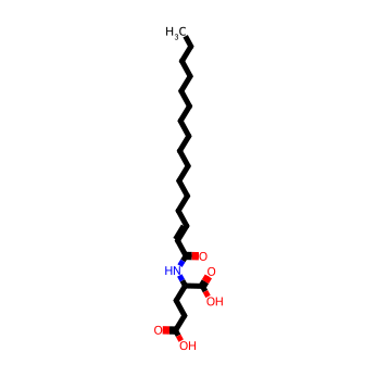 CCCCCCCCCCCCCC=CC(=O)NC(CCC(=O)O)C(=O)O